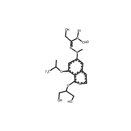 CCN(C=O)/C(CO)=N\N(C)c1cc(OC(C)C(F)(F)F)c2c(OC(CO)CO)nccc2c1